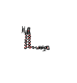 C=O.O.O.O.O.O.O.c1ccc(-c2ccccc2)cc1.c1ccc(-c2ccccc2)cc1.c1ccc(-c2ccccc2)cc1.c1ccc(-c2ccccc2)cc1.c1ccc(-c2ccccc2)cc1.c1ccc(-c2ccccc2)cc1.c1ccc(-c2ccccc2)cc1.c1ccc(-c2ccccc2)cc1